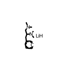 CN(C)CC(Cc1ccccc1)N(C)C.[LiH]